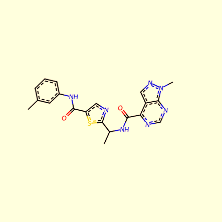 Cc1cccc(NC(=O)c2cnc(C(C)NC(=O)c3ncnc4c3cnn4C)s2)c1